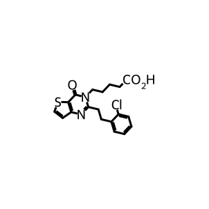 O=C(O)CCCCn1c(CCc2ccccc2Cl)nc2ccsc2c1=O